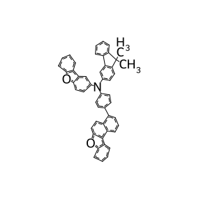 CC1(C)c2ccccc2-c2cc(N(c3ccc(-c4cccc5c4ccc4oc6ccccc6c45)cc3)c3ccc4oc5ccccc5c4c3)ccc21